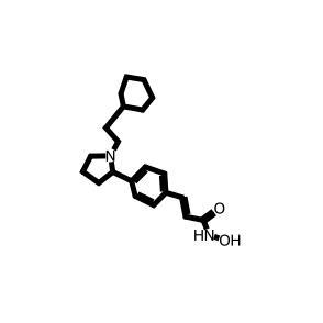 O=C(/C=C/c1ccc(C2CCCN2CCC2CCCCC2)cc1)NO